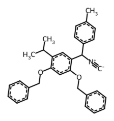 [C-]#[N+]C(c1ccc(C)cc1)c1cc(C(C)C)c(OCc2ccccc2)cc1OCc1ccccc1